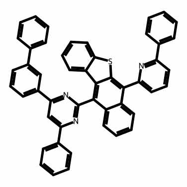 c1ccc(-c2cccc(-c3cc(-c4ccccc4)nc(-c4c5ccccc5c(-c5cccc(-c6ccccc6)n5)c5sc6ccccc6c45)n3)c2)cc1